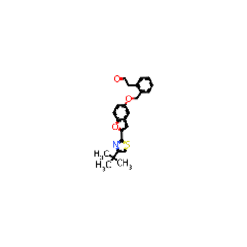 CC(C)(C)c1csc(-c2cc3cc(OCc4ccccc4CC=O)ccc3o2)n1